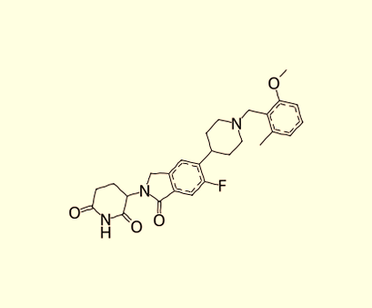 COc1cccc(C)c1CN1CCC(c2cc3c(cc2F)C(=O)N(C2CCC(=O)NC2=O)C3)CC1